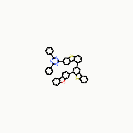 c1ccc(-c2nc(-c3ccccc3)nc(-c3ccc4c(c3)sc3cccc(-c5cc(-c6ccc7c(c6)oc6ccccc67)c6sc7ccccc7c6c5)c34)n2)cc1